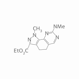 CCOC(=O)c1nn(C)c2c1CCc1cnc(NC)nc1-2